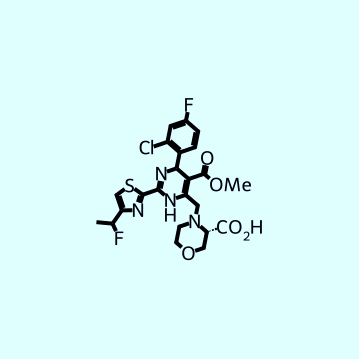 COC(=O)C1=C(CN2CCOC[C@H]2C(=O)O)NC(c2nc(C(C)F)cs2)=NC1c1ccc(F)cc1Cl